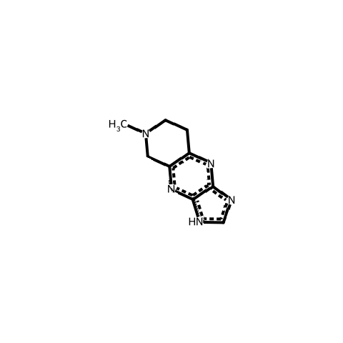 CN1CCc2nc3nc[nH]c3nc2C1